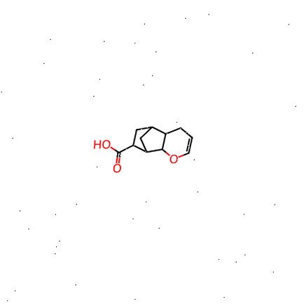 O=C(O)C1CC2CC1C1OC=CCC21